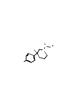 CNC1(c2ccc(C(=O)O)cc2)CCCN([S+]([O-])NC=O)C1